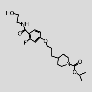 CC(C)OC(=O)N1CCC(CCCOc2ccc(C(=O)NCCO)c(F)c2)CC1